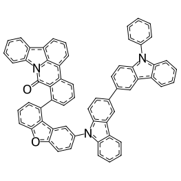 O=c1c2c(-c3cccc4oc5ccc(-n6c7ccccc7c7cc(-c8ccc9c(c8)c8ccccc8n9-c8ccccc8)ccc76)cc5c34)cccc2c2cccc3c4ccccc4n1c23